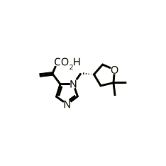 C=C(C(=O)O)c1cncn1C[C@@H]1COC(C)(C)C1